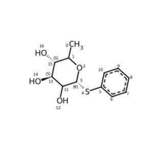 CC1O[C@H](Sc2ccccc2)C(O)[C@@H](O)[C@@H]1O